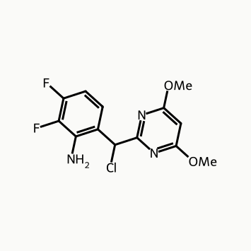 COc1cc(OC)nc(C(Cl)c2ccc(F)c(F)c2N)n1